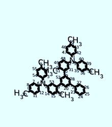 Cc1ccc(N(c2ccc(C)cc2)c2ccc(C)c(-c3cc(-c4ccccc4)cc(-c4cc(N(c5ccc(C)cc5)c5ccc(C)cc5)ccc4C)c3)c2)cc1